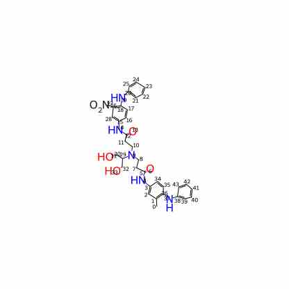 Cc1cc(NC(=O)CCN(CCC(=O)Nc2ccc(Nc3ccccc3)c([N+](=O)[O-])c2)C(CO)CO)ccc1Nc1ccccc1